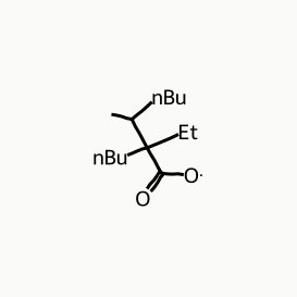 CCCCC(C)C(CC)(CCCC)C([O])=O